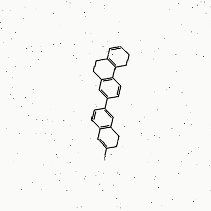 IC1=Cc2ccc(-c3ccc4c(c3)CCC3=C4CCC=C3)cc2CC1